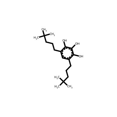 CC(C)(C)CCCc1cc(CCCC(C)(C)C)c(O)c(O)c1O